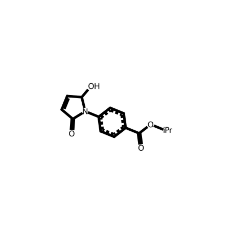 CC(C)OC(=O)c1ccc(N2C(=O)C=CC2O)cc1